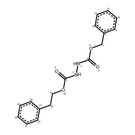 O=C(NNC(=O)OCc1ccccc1)OCCc1ccccc1